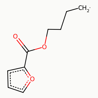 [CH2]CCCOC(=O)c1ccco1